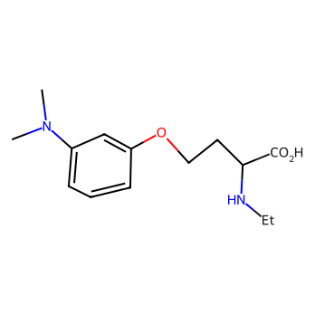 CCNC(CCOc1cccc(N(C)C)c1)C(=O)O